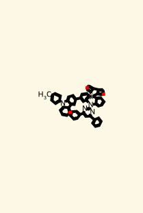 Cc1ccc(-n2c3ccccc3c3cc(-c4ccc5c(c4)N(c4nc(-c6ccccc6)cc(-c6ccccc6)n4)c4ccccc4[Si]54c5ccccc5-c5ccccc54)ccc32)cc1